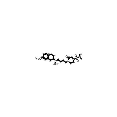 CCCN(CCCCN1CCN(S(=O)(=O)N(C)C)CC1=O)C1CCc2ccc(OC)cc2C1